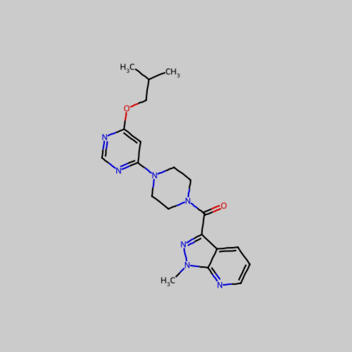 CC(C)COc1cc(N2CCN(C(=O)c3nn(C)c4ncccc34)CC2)ncn1